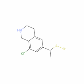 CC(SS)c1cc(Cl)c2c(c1)CCNC2